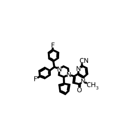 Cn1c(=O)cc(N2CCN(C(c3ccc(F)cc3)c3ccc(F)cc3)CC2c2ccccc2)c2nc(C#N)ccc21